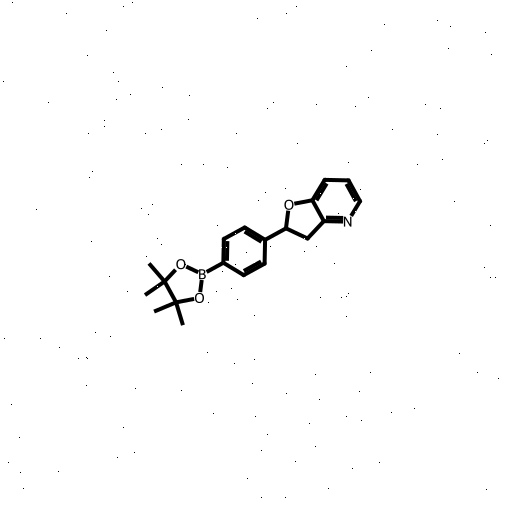 CC1(C)OB(c2ccc(C3Cc4ncccc4O3)cc2)OC1(C)C